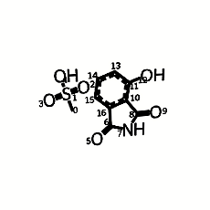 CS(=O)(=O)O.O=C1NC(=O)c2c(O)cccc21